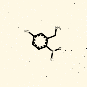 CC[S+]([O-])c1ccc(C#N)cc1CN